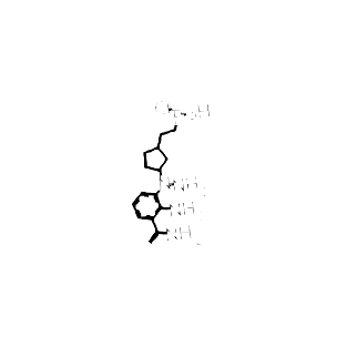 C=C(N)c1cccc(N(N)C2CCC(CCP(S)Cl)C2)c1N